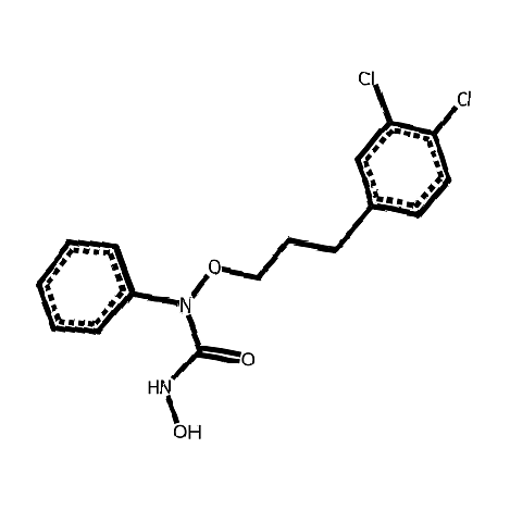 O=C(NO)N(OCCCc1ccc(Cl)c(Cl)c1)c1ccccc1